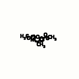 COC(=O)c1ccc2c(c1)Oc1ccc(OC)nc1C=C2C